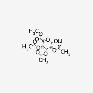 COC(=O)[C@H]1OC(O)[C@H](OC(C)=O)C(OC(C)=O)[C@@H]1OC(C)=O